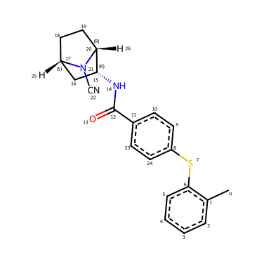 Cc1ccccc1Sc1ccc(C(=O)N[C@@H]2C[C@@H]3CC[C@H]2N3C#N)cc1